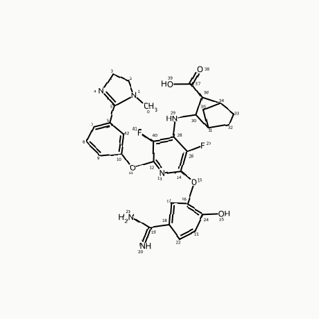 CN1CCN=C1c1cccc(Oc2nc(Oc3cc(C(=N)N)ccc3O)c(F)c(NC3C4CCC(C4)C3C(=O)O)c2F)c1